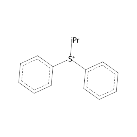 CC(C)[S+](c1ccccc1)c1ccccc1